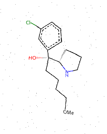 COCCCC[C@@](O)(c1cccc(Cl)c1)[C@@H]1CCCN1